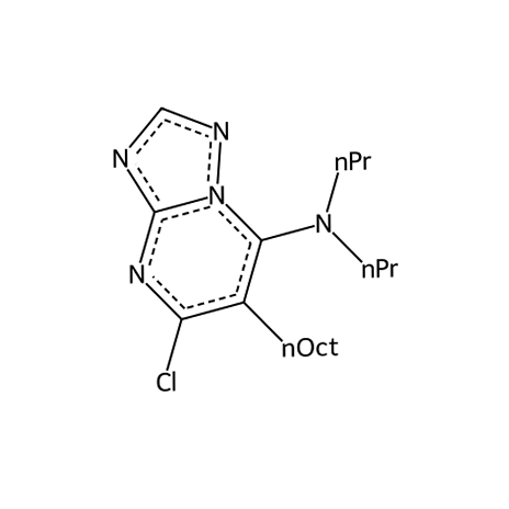 CCCCCCCCc1c(Cl)nc2ncnn2c1N(CCC)CCC